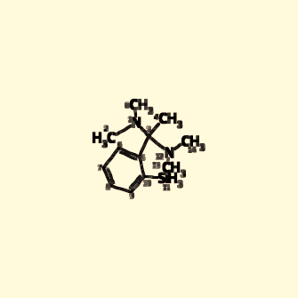 CN(C)C(C)(c1ccccc1[SiH3])N(C)C